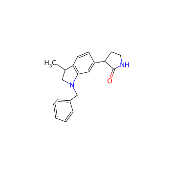 CC1CN(Cc2ccccc2)c2cc(C3CCNC3=O)ccc21